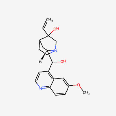 C=CC1(O)CN2CCC1C[C@H]2[C@H](O)c1ccnc2ccc(OC)cc12